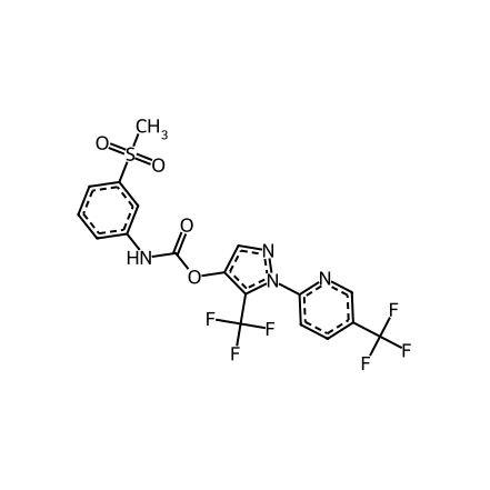 CS(=O)(=O)c1cccc(NC(=O)Oc2cnn(-c3ccc(C(F)(F)F)cn3)c2C(F)(F)F)c1